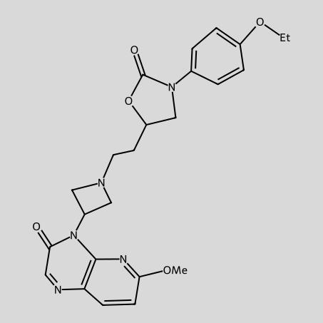 CCOc1ccc(N2CC(CCN3CC(n4c(=O)cnc5ccc(OC)nc54)C3)OC2=O)cc1